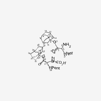 CCCCCC(N)C(=O)OC12CC3CC(CC(C3)C1)C2.CCCCCC(NC(=O)O)C(=O)OC12CC3CC(CC(C3)C1)C2